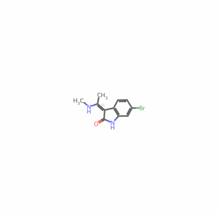 CN/C(C)=C1\C(=O)Nc2cc(Br)ccc21